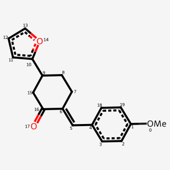 COc1ccc(C=C2CCC(c3ccco3)CC2=O)cc1